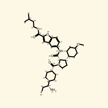 COC1CCC([C@@H]2CCN(C(=O)[C@H]3CC[C@H]([C@H](N)CF)CC3)[C@@H]2C(=O)Nc2ccc3oc(C(=O)OCCC(C)C)cc3c2)CC1